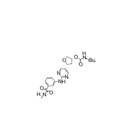 CC[C@H](C)NC(=O)O[C@H]1CO[C@@H](c2cnc(Nc3cccc(S(N)(=O)=O)c3)nc2)C1